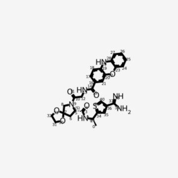 C[C@@H](NC(=O)[C@@H]1CC2(CN1C(=O)CNC(=O)c1ccc3c(c1)Oc1ccccc1N3)OCCO2)c1cc(C(=N)N)cs1